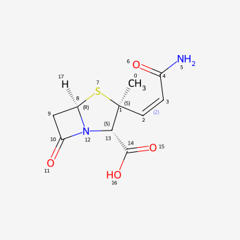 C[C@@]1(/C=C\C(N)=O)S[C@@H]2CC(=O)N2[C@H]1C(=O)O